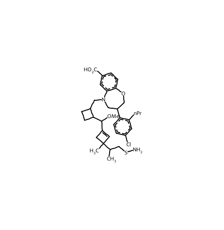 CCCc1cc(Cl)ccc1C1COc2ccc(C(=O)O)cc2N(CC2CCC2C(OC)C2=CC(C)(C(C)CSN)C2)C1